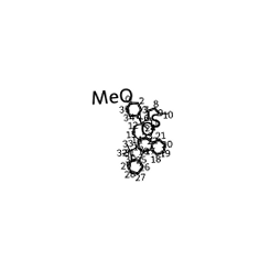 COc1ccc(C2(c3ccc(C)s3)C=Cc3c4c(c5ccccc5c3O2)-c2ccccc2C4(C)C)cc1